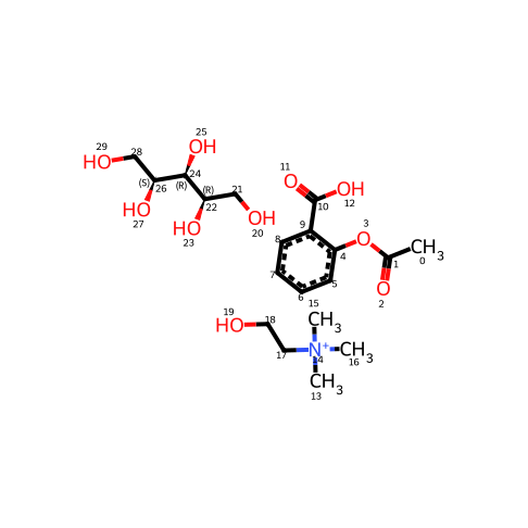 CC(=O)Oc1ccccc1C(=O)O.C[N+](C)(C)CCO.OC[C@@H](O)[C@H](O)[C@@H](O)CO